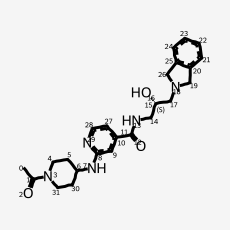 CC(=O)N1CCC(Nc2cc(C(=O)NC[C@H](O)CN3Cc4ccccc4C3)ccn2)CC1